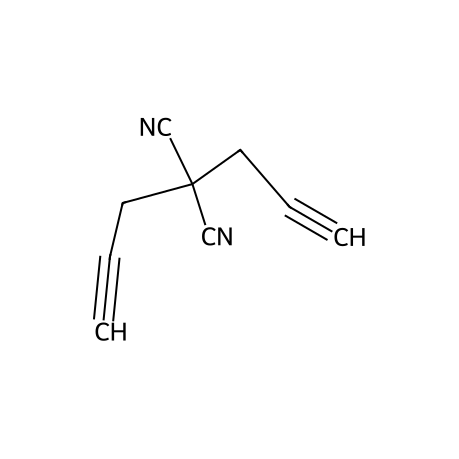 C#CCC(C#N)(C#N)CC#C